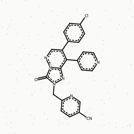 N#Cc1ccc(Cn2nc3c(-c4ccncc4)c(-c4ccc(Cl)cc4)cnn3c2=O)nc1